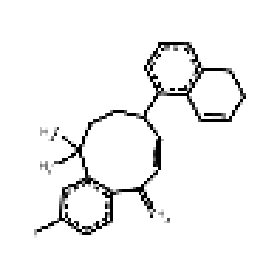 C=C1/C=C\C(c2cccc3c2C=CCC3)CCC(C)(C)c2cc(I)ccc21